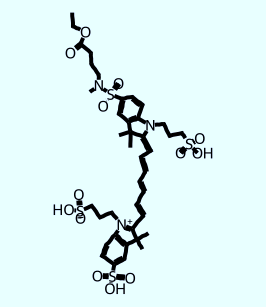 CCOC(=O)CCCN(C)S(=O)(=O)c1ccc2c(c1)C(C)(C)\C(=C/C=C/C=C/C=C/C1=[N+](CCCS(=O)(=O)O)c3ccc(S(=O)(=O)O)cc3C1(C)C)N2CCCS(=O)(=O)O